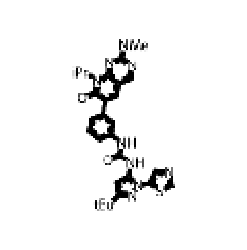 CNc1ncc2cc(-c3cccc(NC(=O)Nc4cc(C(C)(C)C)nn4-c4cncs4)c3)c(=O)n(C(C)C)c2n1